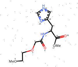 COCCOCC(=O)NC(Cc1c[nH]cn1)C(=O)OC